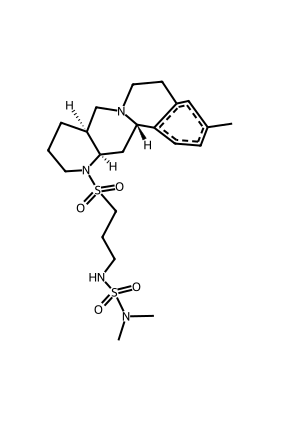 Cc1ccc2c(c1)CCN1C[C@@H]3CCCN(S(=O)(=O)CCCNS(=O)(=O)N(C)C)[C@@H]3C[C@@H]21